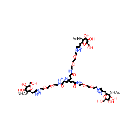 CC(=O)N[C@@H]1[C@@H](O)[C@@H](O)[C@@H](CO)O[C@H]1Cc1cn(CCOCCOCCNC(=O)CCC(N)(CCC(=O)NCCOCCOCCn2cc(C[C@@H]3O[C@H](CO)[C@H](O)[C@H](O)[C@H]3NC(C)=O)nn2)CCC(=O)NCCOCCOCCn2cc(C[C@@H]3O[C@H](CO)[C@H](O)[C@H](O)[C@H]3NC(C)=O)nn2)nn1